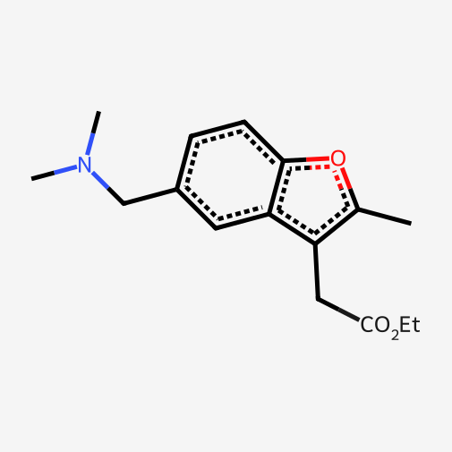 CCOC(=O)Cc1c(C)oc2ccc(CN(C)C)cc12